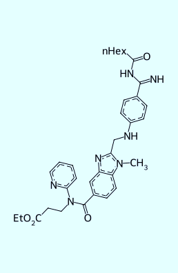 CCCCCCC(=O)NC(=N)c1ccc(NCc2nc3cc(C(=O)N(CCC(=O)OCC)c4ccccn4)ccc3n2C)cc1